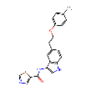 O=C(Nc1c[nH]c2ccc(CCOc3ccc(C(F)(F)F)cc3)cc12)c1cncs1